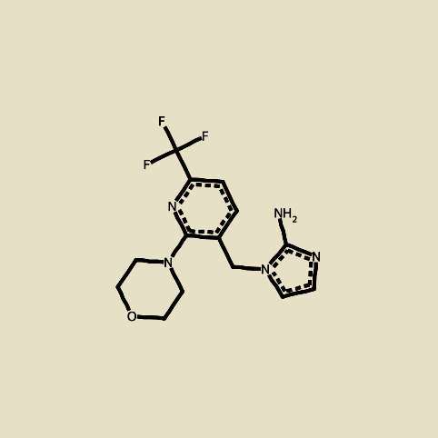 Nc1nccn1Cc1ccc(C(F)(F)F)nc1N1CCOCC1